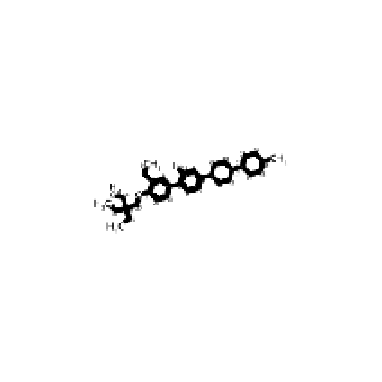 CCc1cc(-c2ccc(C3CCC(C4CCC(C)CC4)CC3)cc2F)ccc1OCC(CC)(CC)CC